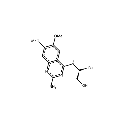 CC[C@H](C)[C@@H](CO)Nc1nc(N)nc2cc(OC)c(OC)cc12